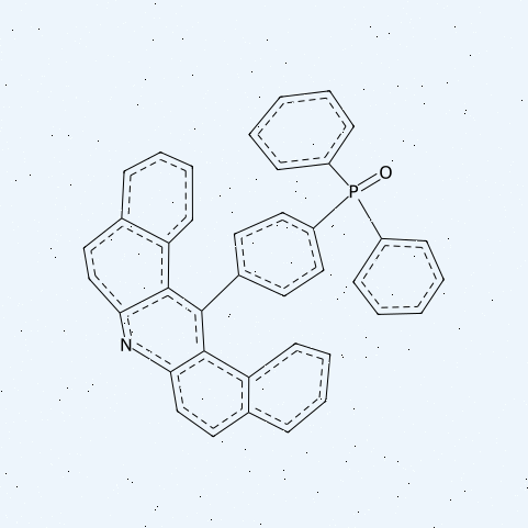 O=P(c1ccccc1)(c1ccccc1)c1ccc(-c2c3c(ccc4ccccc43)nc3ccc4ccccc4c23)cc1